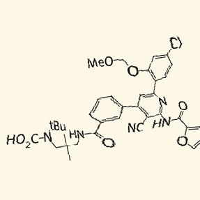 COCOc1cc(Cl)ccc1-c1cc(-c2cccc(C(=O)NCC(C)(C)CN(C(=O)O)C(C)(C)C)c2)c(C#N)c(NC(=O)c2ccco2)n1